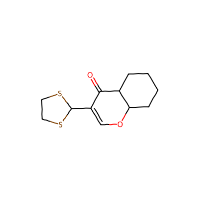 O=C1C(C2SCCS2)=COC2CCCCC12